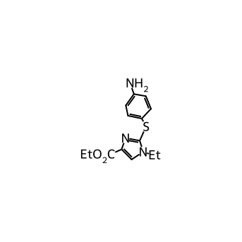 CCOC(=O)c1cn(CC)c(Sc2ccc(N)cc2)n1